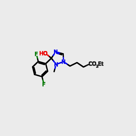 CCOC(=O)CCCN1C=NC(O)(c2cc(F)ccc2F)N1C